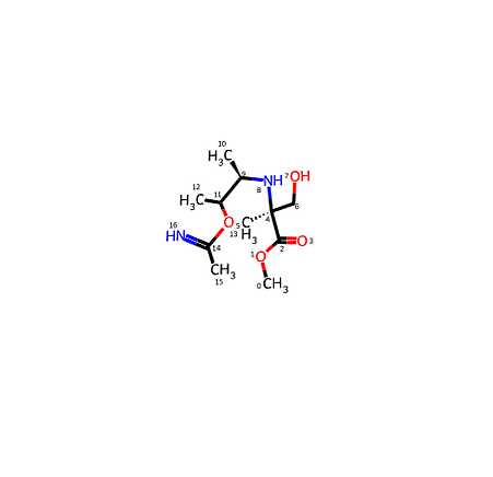 COC(=O)[C@](C)(CO)N[C@H](C)C(C)OC(C)=N